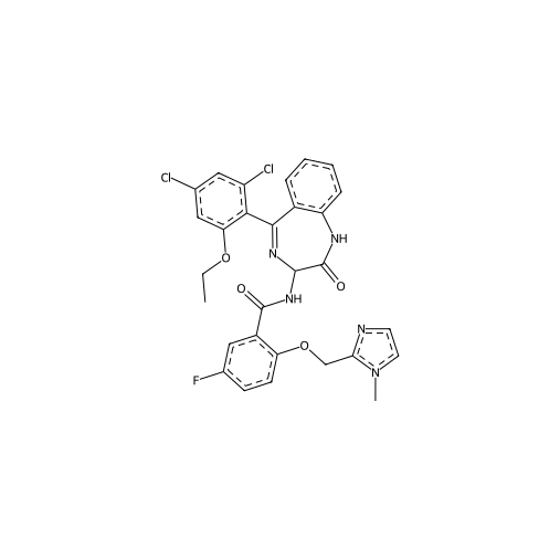 CCOc1cc(Cl)cc(Cl)c1C1=NC(NC(=O)c2cc(F)ccc2OCc2nccn2C)C(=O)Nc2ccccc21